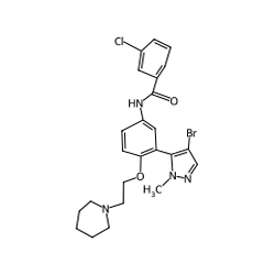 Cn1ncc(Br)c1-c1cc(NC(=O)c2cccc(Cl)c2)ccc1OCCN1CCCCC1